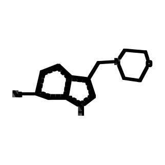 [Na][c]1ccc2c(CN3CCOCC3)c[nH]c2c1